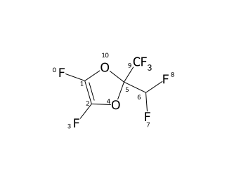 FC1=C(F)OC(C(F)F)(C(F)(F)F)O1